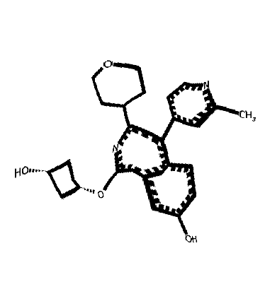 Cc1cc(-c2c(C3CCOCC3)nc(O[C@H]3C[C@@H](O)C3)c3cc(O)ccc23)ccn1